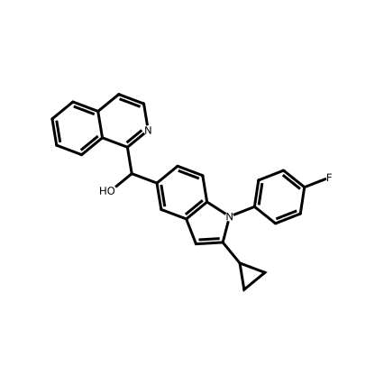 OC(c1ccc2c(c1)cc(C1CC1)n2-c1ccc(F)cc1)c1nccc2ccccc12